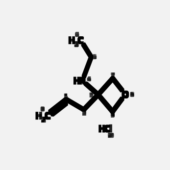 C=CCC1(NCC)COC1.Cl